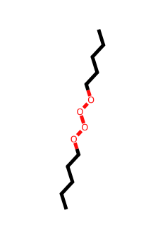 CCCCCOOOOCCCCC